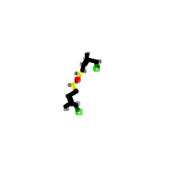 CC(=CCSOSCC=C(C)CCl)CCl